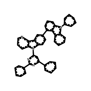 c1ccc(-c2cc(-n3c4ccc(-c5cccc6c5c5ccccc5n6-c5ccccc5)cc4c4ncccc43)nc(-c3ccccc3)n2)cc1